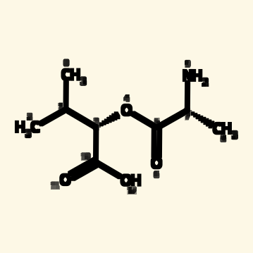 CC(C)[C@H](OC(=O)[C@@H](C)N)C(=O)O